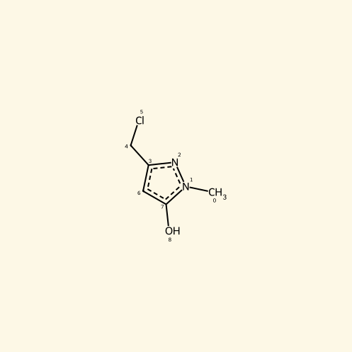 Cn1nc(CCl)cc1O